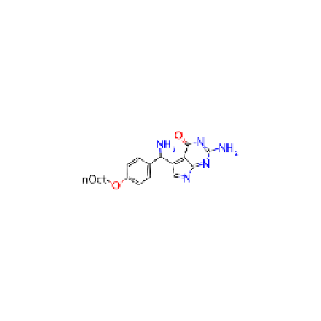 CCCCCCCCOc1ccc(C(N)C2=C3C(=O)N=C(N)N=C3N=C2)cc1